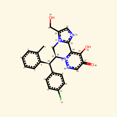 Cc1ccccc1[C@H](c1ccc(F)cc1)[C@H]1Cn2c(CO)cnc2-c2c(O)c(=O)cnn21